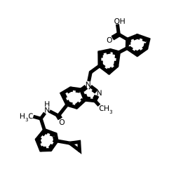 Cc1nn(Cc2ccc(-c3ccccc3C(=O)O)cc2)c2ccc(C(=O)NC(C)c3cccc(C4CC4)c3)cc12